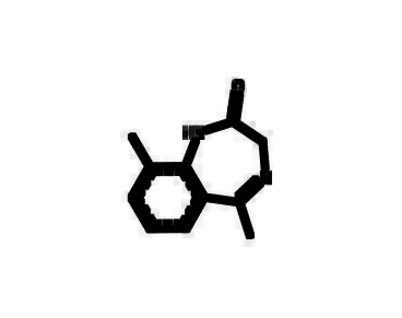 CC1=NCC(=O)Nc2c(C)cccc21